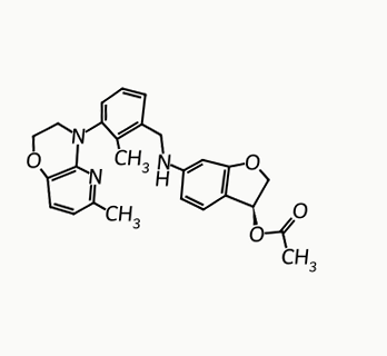 CC(=O)O[C@@H]1COc2cc(NCc3cccc(N4CCOc5ccc(C)nc54)c3C)ccc21